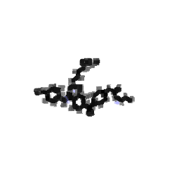 C=C/C=C\C(=C)CN1CCN(C(=O)C2=CC(/N=C(\C)CCCCC(=O)O)C(/N=C/c3ccc(Cl)cc3)C=C2)CC1